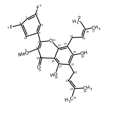 COc1c(-c2cc(F)cc(F)c2)oc2c(CC=C(C)C)c(O)c(CC=C(C)C)c(O)c2c1=O